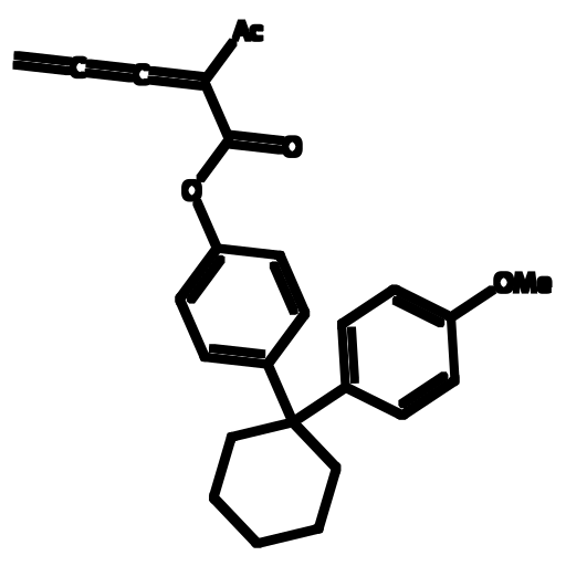 C=C=C=C(C(C)=O)C(=O)Oc1ccc(C2(c3ccc(OC)cc3)CCCCC2)cc1